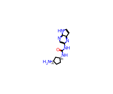 N[C@@H]1CC[C@@H](NC(=O)Nc2cnc3[nH]ccc3n2)C1